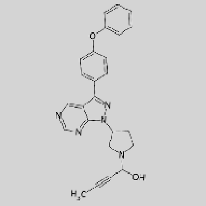 CC#CC(O)N1CCC(n2nc(-c3ccc(Oc4ccccc4)cc3)c3cncnc32)C1